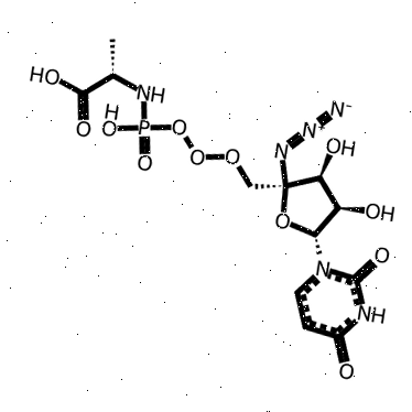 C[C@H](NP(=O)(O)OOOC[C@@]1(N=[N+]=[N-])O[C@@H](n2ccc(=O)[nH]c2=O)[C@H](O)[C@@H]1O)C(=O)O